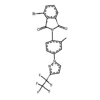 Cc1cc(-n2ccc(C(F)(F)C(F)(F)F)n2)ccc1N1C(=O)c2cccc(Br)c2C1=O